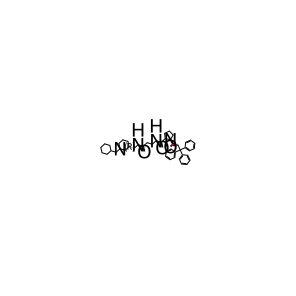 O=C(CCNC(=O)C1CCCN1C(=O)CC(c1ccccc1)(c1ccccc1)c1ccccc1)NC[C@H]1CCCN(CC2CCCCC2)C1